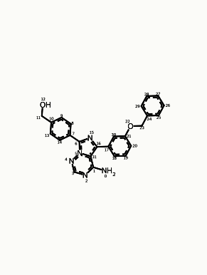 Nc1ncnn2c(-c3ccc(CO)cc3)nc(-c3cccc(OCc4ccccc4)c3)c12